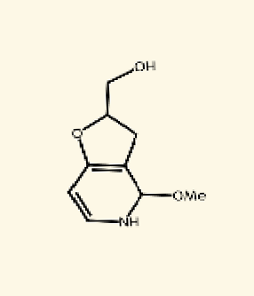 COC1NC=CC2=C1CC(CO)O2